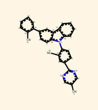 N#Cc1cnc(-c2ccc(-n3c4ccccc4c4cc(-c5ccccc5C#N)ccc43)c(C#N)c2)nc1